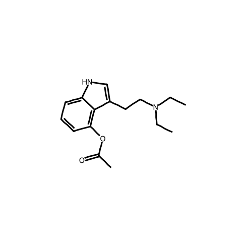 CCN(CC)CCc1c[nH]c2cccc(OC(C)=O)c12